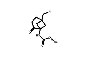 CC(C)(C)OC(=O)NC12CC(CCl)(COC1=O)C2